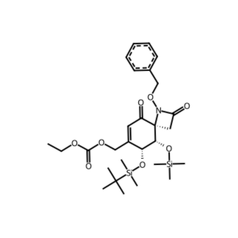 CCOC(=O)OCC1=CC(=O)[C@]2(CC(=O)N2OCc2ccccc2)[C@H](O[Si](C)(C)C)[C@@H]1O[Si](C)(C)C(C)(C)C